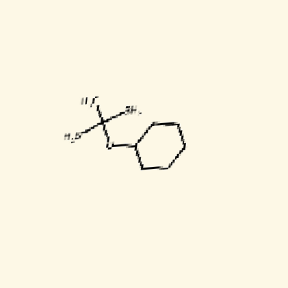 BC(B)(C)OC1CCCCC1